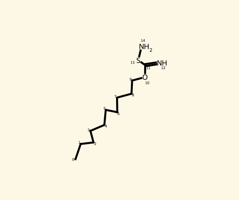 CCCCCCCCCCOC(=N)SN